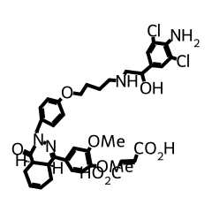 COc1ccc(C2=NN(Cc3ccc(OCCCCNCC(O)c4cc(Cl)c(N)c(Cl)c4)cc3)C(=O)[C@@H]3CC=CC[C@H]23)cc1OC.O=C(O)C=CC(=O)O